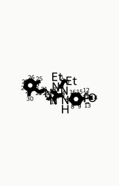 CCC(CC)c1nc(Nc2ccc(P(C)(C)=O)cc2)c2ncn(C=Cc3c(C)cccc3C)c2n1